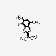 Cc1cc(C(C)(C)C)c(I)c2c1SC(=C(C#N)C#N)S2